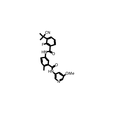 COc1cncc(NC(=O)c2cc(NC(=O)c3cccc(C(C)(C)C#N)c3F)ccc2C)c1